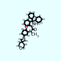 CN1C(=O)[C@@H](NC(c2ccccc2)(c2ccccc2)c2ccccc2)COc2ccc(N3CC4(CCOCC4)C3)cc21